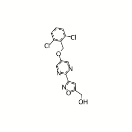 OCc1cc(-c2ncc(OCc3c(Cl)cccc3Cl)cn2)no1